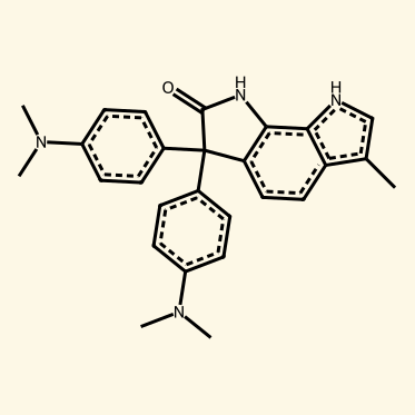 Cc1c[nH]c2c3c(ccc12)C(c1ccc(N(C)C)cc1)(c1ccc(N(C)C)cc1)C(=O)N3